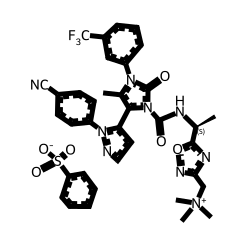 Cc1c(-c2ccnn2-c2ccc(C#N)cc2)n(C(=O)N[C@@H](C)c2nc(C[N+](C)(C)C)no2)c(=O)n1-c1cccc(C(F)(F)F)c1.O=S(=O)([O-])c1ccccc1